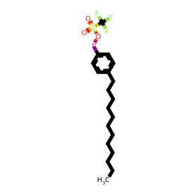 CCCCCCCCCCCCc1ccc([I+]OS(=O)(=O)C(F)(F)F)cc1